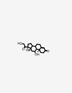 C[C@]12CCC(=O)C=C1CCC1C2C(O)C[C@@]2(C)C1CC[C@]2(O)C(=O)CO